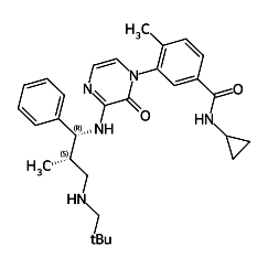 Cc1ccc(C(=O)NC2CC2)cc1-n1ccnc(N[C@@H](c2ccccc2)[C@@H](C)CNCC(C)(C)C)c1=O